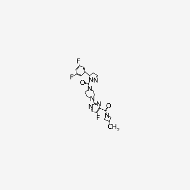 C=C1CN(C(=O)c2nc(N3CCN(C(=O)N4N=CCC4c4cc(F)cc(F)c4)CC3)ncc2F)C1